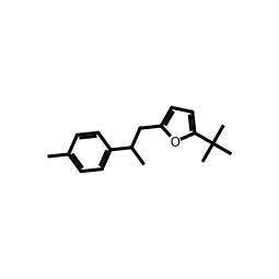 Cc1ccc(C(C)Cc2ccc(C(C)(C)C)o2)cc1